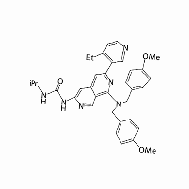 CCc1ccncc1-c1cc2cc(NC(=O)NC(C)C)ncc2c(N(Cc2ccc(OC)cc2)Cc2ccc(OC)cc2)n1